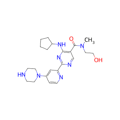 CN(CCO)C(=O)c1cnc(-c2cc(N3CCNCC3)ccn2)nc1NC1CCCC1